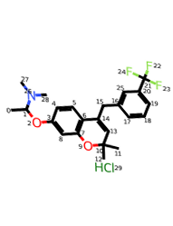 CC(Oc1ccc2c(c1)OC(C)(C)C=C2Cc1cccc(C(F)(F)F)c1)N(C)C.Cl